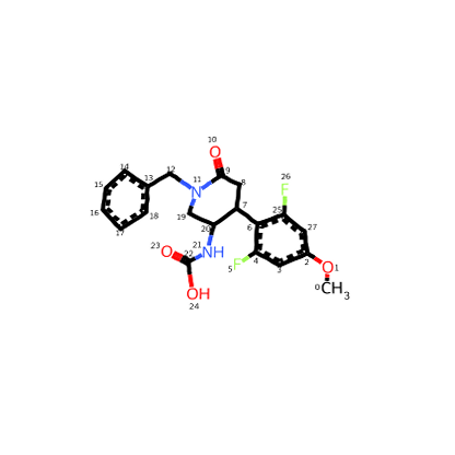 COc1cc(F)c(C2CC(=O)N(Cc3ccccc3)CC2NC(=O)O)c(F)c1